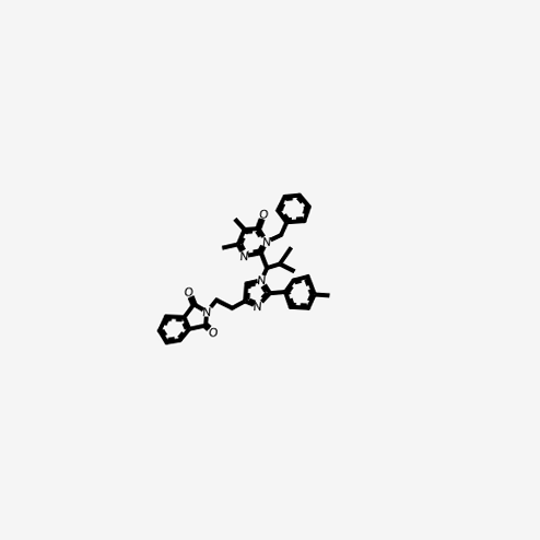 Cc1ccc(-c2nc(CCN3C(=O)c4ccccc4C3=O)cn2C(c2nc(C)c(C)c(=O)n2Cc2ccccc2)C(C)C)cc1